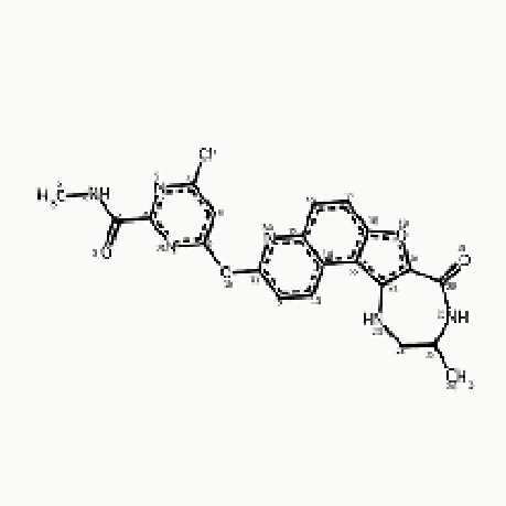 CNC(=O)c1nc(Cl)cc(Oc2ccc3c(ccc4oc5c(c43)NCC(C)NC5=O)n2)n1